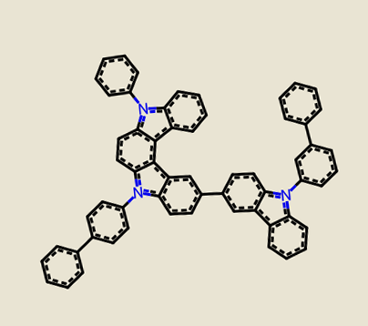 c1ccc(-c2ccc(-n3c4ccc(-c5ccc6c(c5)c5ccccc5n6-c5cccc(-c6ccccc6)c5)cc4c4c5c6ccccc6n(-c6ccccc6)c5ccc43)cc2)cc1